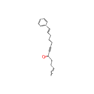 C=C=CCCC(=O)C#CCCCC=Cc1ccccc1